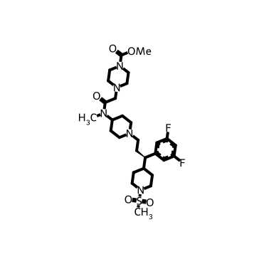 COC(=O)N1CCN(CC(=O)N(C)C2CCN(CC[C@@H](c3cc(F)cc(F)c3)C3CCN(S(C)(=O)=O)CC3)CC2)CC1